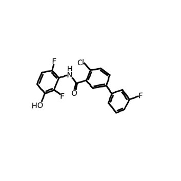 O=C(Nc1c(F)ccc(O)c1F)c1cc(-c2cccc(F)c2)ccc1Cl